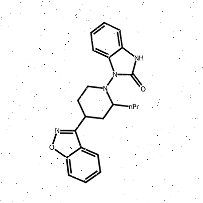 CCCC1CC(c2noc3ccccc23)CCN1n1c(=O)[nH]c2ccccc21